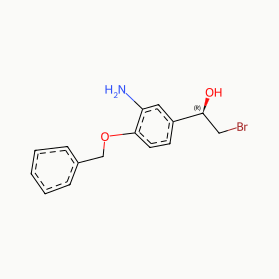 Nc1cc([C@@H](O)CBr)ccc1OCc1ccccc1